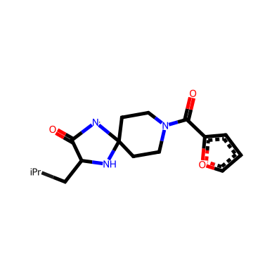 CC(C)CC1NC2(CCN(C(=O)c3ccco3)CC2)[N]C1=O